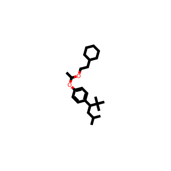 CC(C)CC(c1ccc(OC(C)OCCC2CCCCC2)cc1)C(C)(C)C